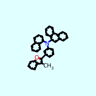 Cc1c(-c2cccc(N(c3cccc4ccccc34)c3cc4ccccc4c4ccccc34)c2)oc2ccccc12